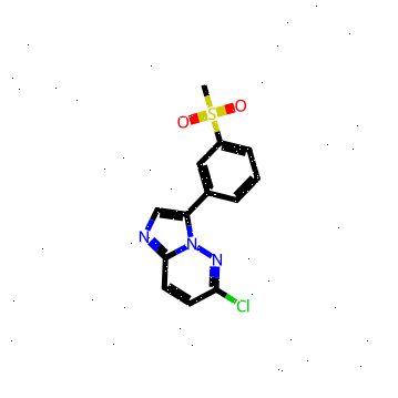 CS(=O)(=O)c1cccc(-c2cnc3ccc(Cl)nn23)c1